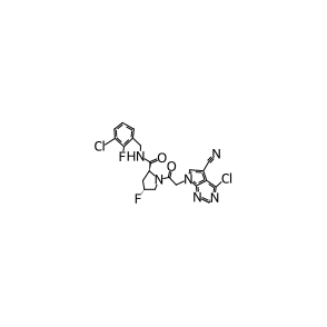 N#Cc1cn(CC(=O)N2C[C@H](F)C[C@H]2C(=O)NCc2cccc(Cl)c2F)c2ncnc(Cl)c12